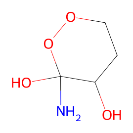 NC1(O)OOCCC1O